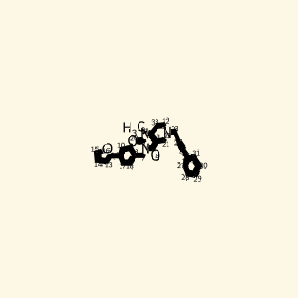 Cn1c2c(c(=O)n(Cc3ccc(-c4ccco4)cc3)c1=O)CN(CC#Cc1ccccc1)CC2